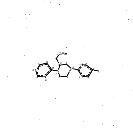 COC[C@H]1CN(c2ncc(I)cn2)CCN1c1ccncn1